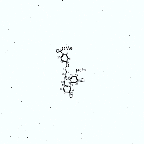 COC(=O)c1ccc(OCCCN(Cc2ccc(Cl)cc2)c2ccc(Cl)cc2)cc1.Cl